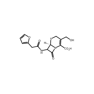 O=C(Cc1ccco1)NC1C(=O)N2C(C(=O)O)=C(CO)CS[C@H]12